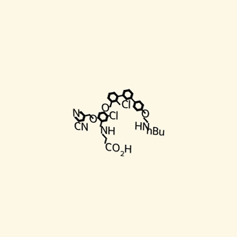 CCCCNCCOc1ccc(-c2cccc(-c3cccc(COc4cc(OCc5cncc(C#N)c5)c(CNCCCC(=O)O)cc4Cl)c3C)c2Cl)cc1